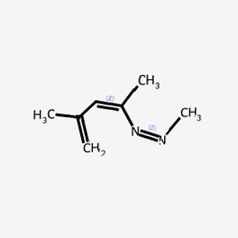 C=C(C)/C=C(C)\N=N/C